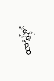 Cc1cc(C)n(C(C)c2nnc(Nc3ccn(Cc4ccccc4F)n3)s2)n1